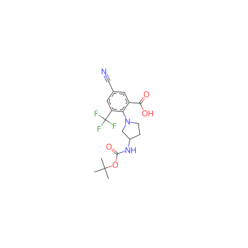 CC(C)(C)OC(=O)NC1CCN(c2c(C(=O)O)cc(C#N)cc2C(F)(F)F)C1